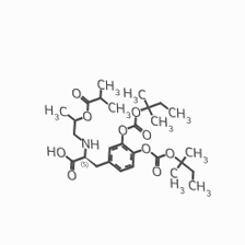 CCC(C)(C)OC(=O)Oc1ccc(C[C@H](NCC(C)OC(=O)C(C)C)C(=O)O)cc1OC(=O)OC(C)(C)CC